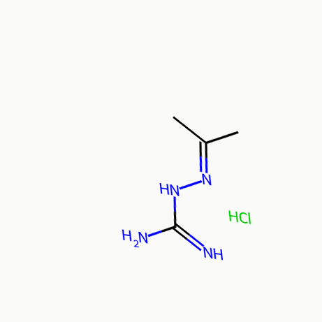 CC(C)=NNC(=N)N.Cl